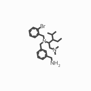 CCC(C(C)C)C(CN(C)C)N(Cc1cccc(CN)c1)Cc1ccccc1Br